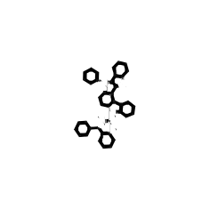 c1ccc(-c2nc(-n3c4ccccc4c4c5c6sc7ccccc7c6n(-c6ccccc6)c5ccc43)nc3ccccc23)cc1